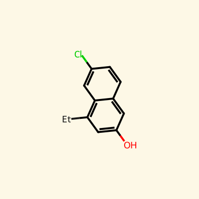 CCc1cc(O)cc2ccc(Cl)cc12